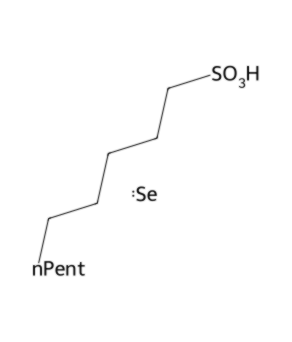 CCCCCCCCCCS(=O)(=O)O.[Se]